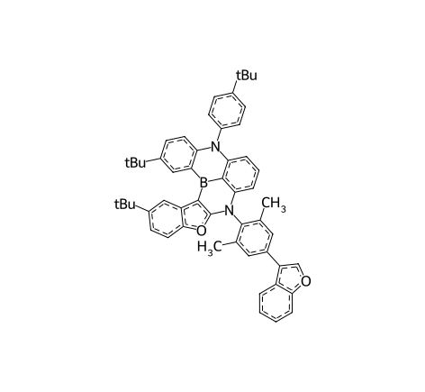 Cc1cc(-c2coc3ccccc23)cc(C)c1N1c2cccc3c2B(c2cc(C(C)(C)C)ccc2N3c2ccc(C(C)(C)C)cc2)c2c1oc1ccc(C(C)(C)C)cc21